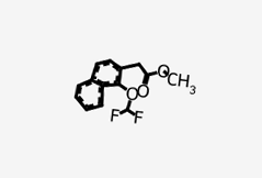 COC(=O)Cc1ccc2ccccc2c1OC(F)F